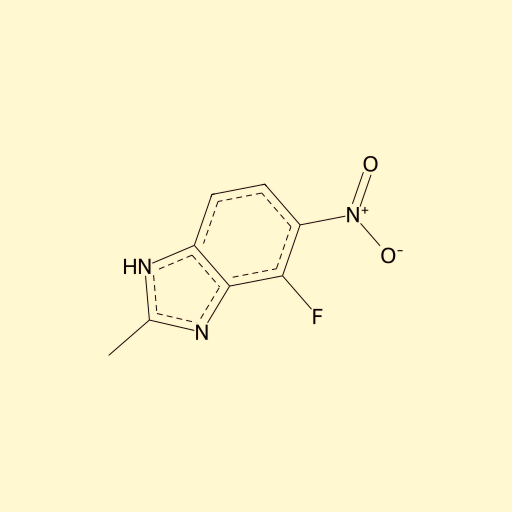 Cc1nc2c(F)c([N+](=O)[O-])ccc2[nH]1